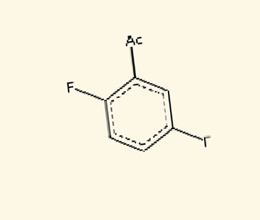 [CH2]C(=O)c1cc(F)ccc1F